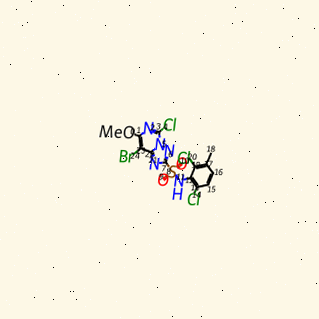 COc1nc(Cl)n2nc(S(=O)(=O)Nc3c(Cl)ccc(C)c3Cl)nc2c1Br